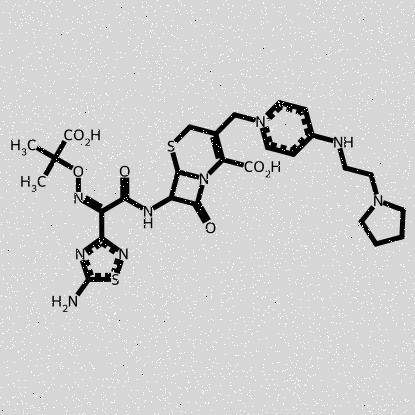 CC(C)(O/N=C(\C(=O)NC1C(=O)N2C(C(=O)O)=C(C[n+]3ccc(NCCN4CCCC4)cc3)CSC12)c1nsc(N)n1)C(=O)O